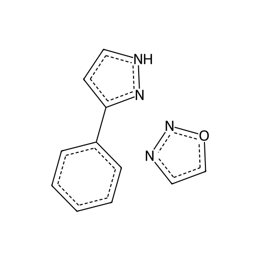 c1ccc(-c2cc[nH]n2)cc1.c1conn1